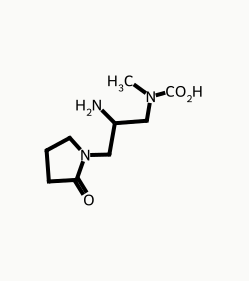 CN(CC(N)CN1CCCC1=O)C(=O)O